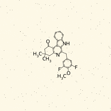 COc1c(F)cc(Cc2nc3c(c4c2[nH]c2ccccc24)C(=O)CC(C)(C)C3)cc1F